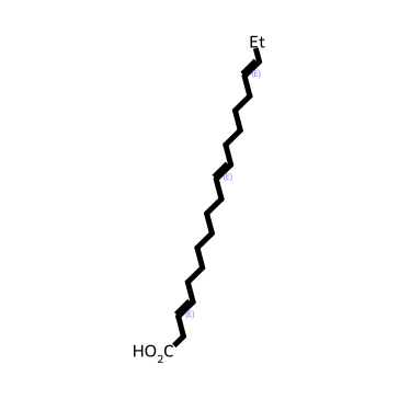 CC/C=C/CCCC/C=C/CCCCCC/C=C/CC(=O)O